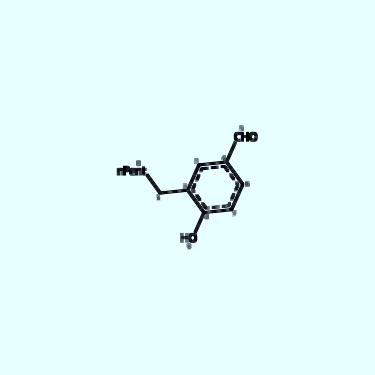 CCCCCCc1cc(C=O)ccc1O